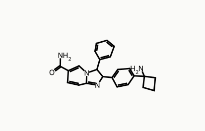 NC(=O)C1=CN2C(=NC(c3ccc(C4(N)CCC4)cc3)C2c2ccccc2)C=C1